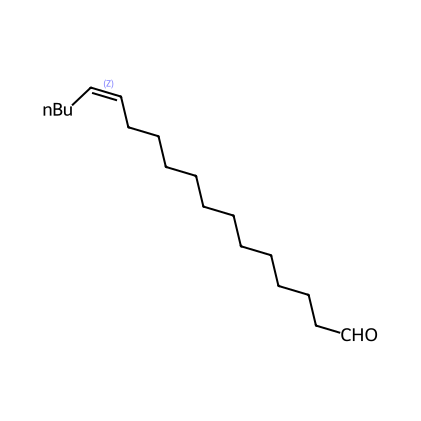 CCCC/C=C\CCCCCCCCCCCC=O